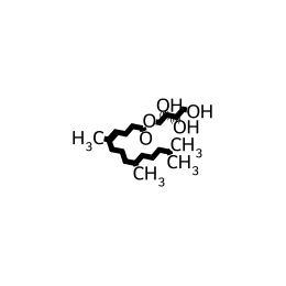 CC(=CCCC(=O)OC[C@H](O)[C@H](O)CO)CCCC(C)CCCC(C)C